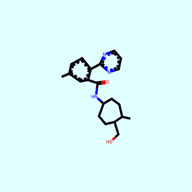 Cc1ccc(-c2ncccn2)c(C(=O)NC2CCC(C)C(CO)CC2)c1